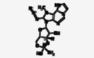 B[PH]1(O)OCC2OC(N3C4=C(C5NC=CN5C=N4)N(C)C3N=[N+]=[N-])C(O)[C@@H]2O1